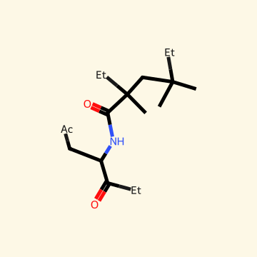 CCC(=O)C(CC(C)=O)NC(=O)C(C)(CC)CC(C)(C)CC